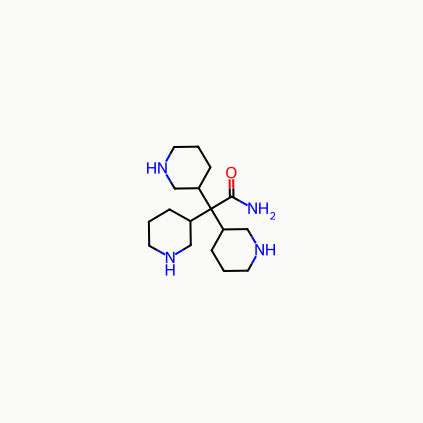 NC(=O)C(C1CCCNC1)(C1CCCNC1)C1CCCNC1